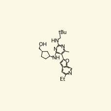 CCc1cc2cc(-c3c(C)nc(NCC(C)(C)C)nc3N[C@H]3CC[C@@H](CO)C3)oc2cn1